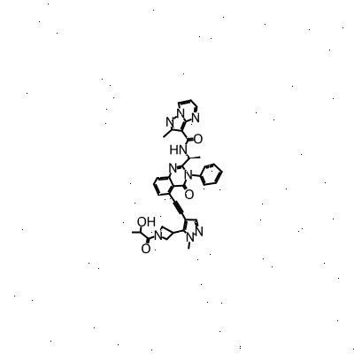 Cc1nn2cccnc2c1C(=O)N[C@@H](C)c1nc2cccc(C#Cc3cnn(C)c3C3CN(C(=O)C(C)O)C3)c2c(=O)n1-c1ccccc1